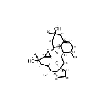 C[C@H](CCC(C)(O)C1CC1)[C@H]1CCC[C@]1(C)CC[C@H]1[C@H](C)CC=C2C[C@@](C)(O)CC[C@@]21C